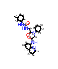 Cc1cccc(NC(=O)NCC(=O)N(CC(=O)Nc2cccc3cccnc23)c2ccccc2)c1